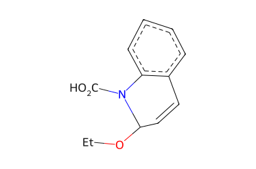 CCOC1C=Cc2ccccc2N1C(=O)O